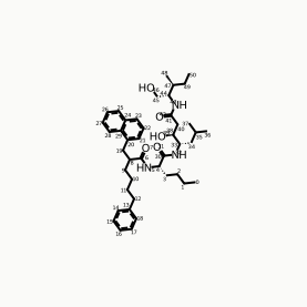 CCCC[C@H](NC(=O)C(CCCCc1ccccc1)Cc1cccc2ccccc12)C(=O)N[C@@H](CC(C)C)[C@@H](O)CC(=O)N[C@H](CO)[C@@H](C)CC